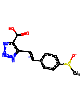 C[S+]([O-])c1ccc(/C=C/c2[nH]nnc2C(=O)O)cc1